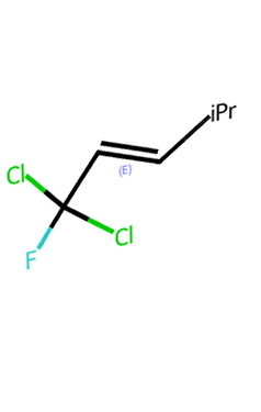 CC(C)/C=C/C(F)(Cl)Cl